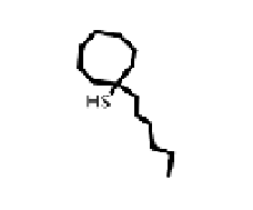 CCCCCCC1(S)CCCCCCC1